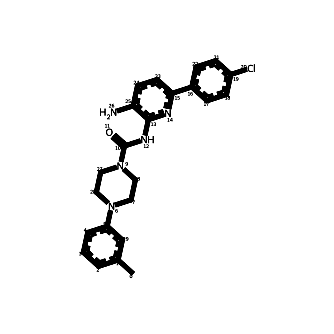 Cc1cccc(N2CCN(C(=O)Nc3nc(-c4ccc(Cl)cc4)ccc3N)CC2)c1